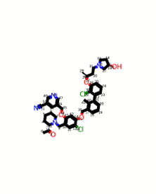 CC(=O)[C@@H]1CCCCN1Cc1cc(Cl)c(OCc2cccc(-c3cccc(O[C@@H](C)CCN4CC[C@@H](O)C4)c3Cl)c2C)cc1OCc1cncc(C#N)c1